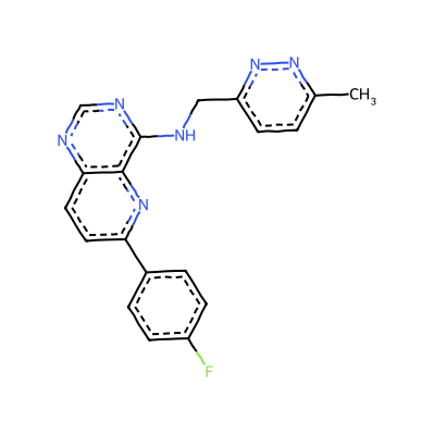 Cc1ccc(CNc2ncnc3ccc(-c4ccc(F)cc4)nc23)nn1